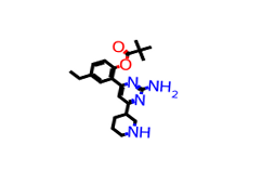 CCc1ccc(OC(=O)C(C)(C)C)c(-c2cc(C3CCCNC3)nc(N)n2)c1